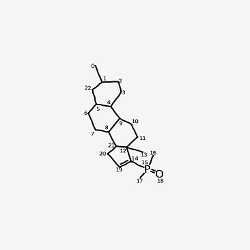 CC1CCC2C(CCC3C2CCC2(C)C(P(C)(C)=O)=CCC32)C1